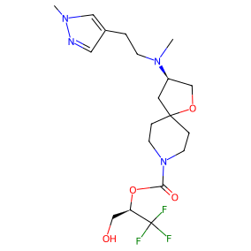 CN(CCc1cnn(C)c1)[C@H]1COC2(CCN(C(=O)O[C@H](CO)C(F)(F)F)CC2)C1